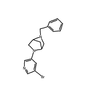 Brc1cncc(N2CC3CC2CN3Cc2ccccc2)c1